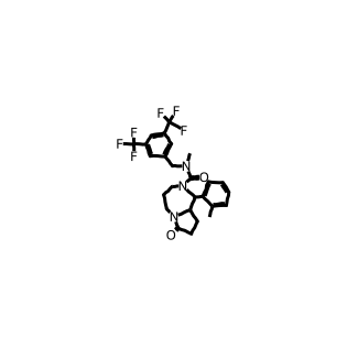 Cc1ccccc1C1C2CCC(=O)N2CCCN1C(=O)N(C)Cc1cc(C(F)(F)F)cc(C(F)(F)F)c1